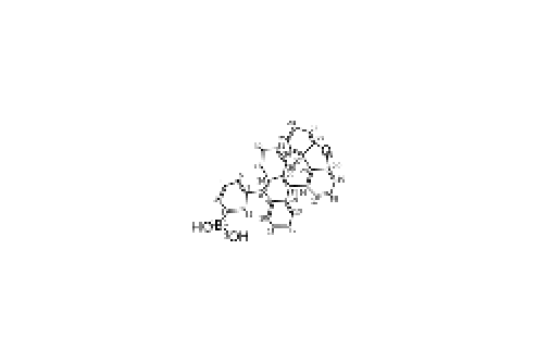 OB(O)c1cccc(-c2c3ccccc3c(-c3cccc4oc5ccccc5c34)c3ccccc23)c1